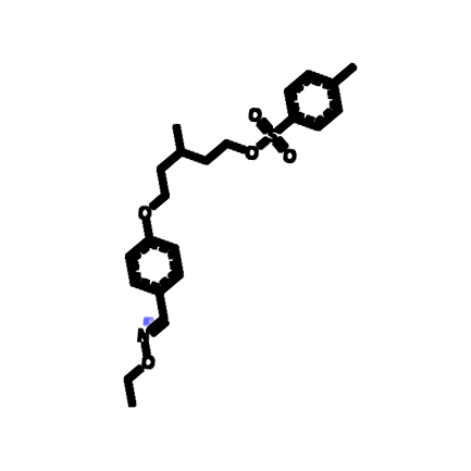 CCO/N=C/c1ccc(OCCC(C)CCOS(=O)(=O)c2ccc(C)cc2)cc1